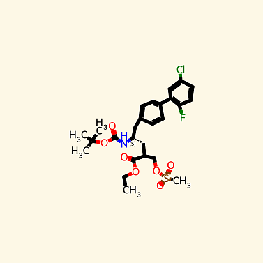 CCOC(=O)C(COS(C)(=O)=O)C[C@@H](Cc1ccc(-c2cc(Cl)ccc2F)cc1)NC(=O)OC(C)(C)C